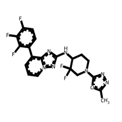 Cc1nnc(N2CCC(Nc3nc4c(-c5ccc(F)c(F)c5F)cccn4n3)C(F)(F)C2)o1